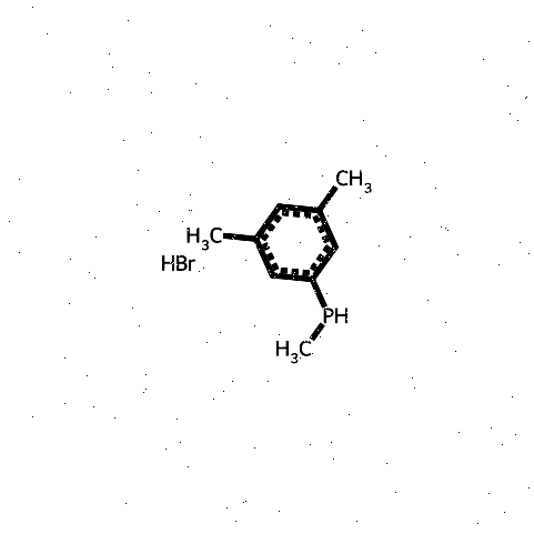 Br.CPc1cc(C)cc(C)c1